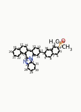 CP(C)(=O)c1ccc2ccc(-c3ccc4c5ccc6ccccc6c5c5nc6ccccc6n5c4c3)cc2c1